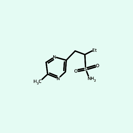 CCC(Cc1cnc(C)cn1)S(N)(=O)=O